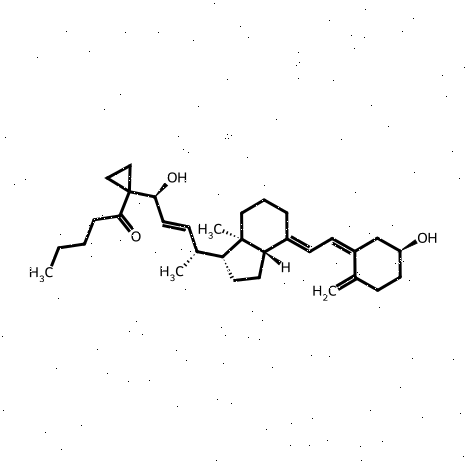 C=C1CC[C@H](O)C/C1=C/C=C1\CCC[C@]2(C)[C@@H]([C@H](C)/C=C/[C@H](O)C3(C(=O)CCCC)CC3)CC[C@@H]12